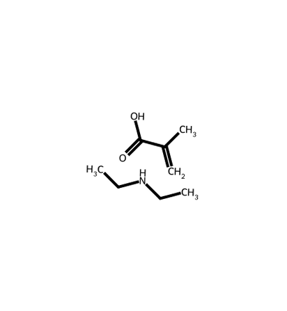 C=C(C)C(=O)O.CCNCC